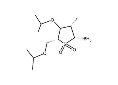 B[C@H]1[C@@H](C)C(OC(C)C)[C@@H](COC(C)C)S1(=O)=O